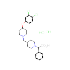 Cl.Cl.O=C(O)C(c1ccccc1)N1CCC(CN2CCC(Oc3ccc(Cl)c(Cl)c3)CC2)CC1